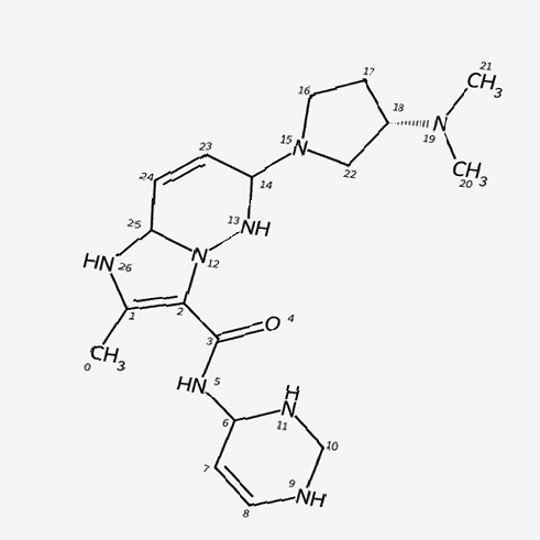 CC1=C(C(=O)NC2C=CNCN2)N2NC(N3CC[C@H](N(C)C)C3)C=CC2N1